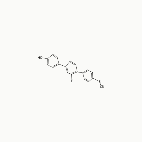 N#CSc1ccc(-c2ccc(-c3ccc(O)cc3)cc2F)cc1